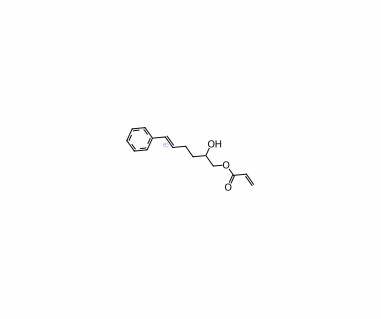 C=CC(=O)OCC(O)CC/C=C/c1ccccc1